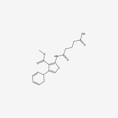 COC(=O)c1c(C2C=CC=CC2)csc1NC(=O)CCCC(=O)O